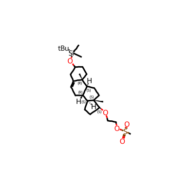 CC(C)(C)[Si](C)(C)OC1CC[C@@]2(C)C(=CC[C@H]3[C@@H]4CC[C@H](OCCOS(C)(=O)=O)[C@@]4(C)CC[C@@H]32)C1